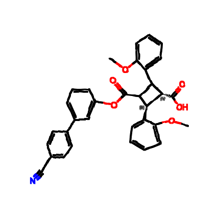 COc1ccccc1C1C(C(=O)Oc2cccc(-c3ccc(C#N)cc3)c2)[C@H](c2ccccc2OC)[C@H]1C(=O)O